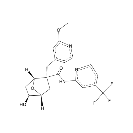 COc1cc(C[C@]2(C(=O)Nc3cc(C(F)(F)F)ccn3)C[C@H]3O[C@@H]2C[C@@H]3O)ccn1